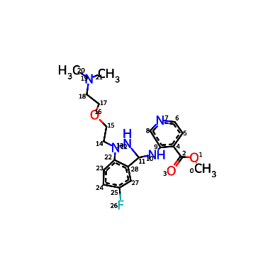 COC(=O)c1ccncc1NC1NN(CCOCCN(C)C)c2ccc(F)cc21